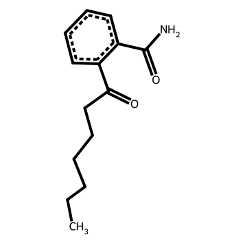 CCCCCCC(=O)c1ccccc1C(N)=O